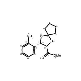 COC(=O)[C@@H]1OC2(CCCC2)O[C@H]1c1ccccc1[N+](=O)[O-]